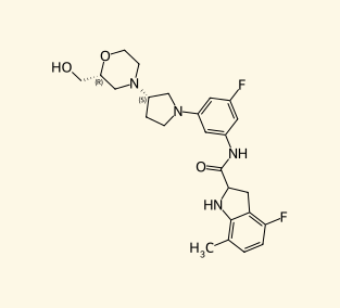 Cc1ccc(F)c2c1NC(C(=O)Nc1cc(F)cc(N3CC[C@H](N4CCO[C@@H](CO)C4)C3)c1)C2